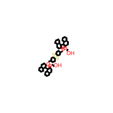 OCCOc1ccc2ccccc2c1-c1c(OCc2ccc3c(c2)Sc2ccc(COc4ccc5ccccc5c4-c4c(OCCO)ccc5ccccc45)cc2S3)ccc2ccccc12